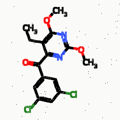 CCc1c(OC)nc(OC)nc1C(=O)c1cc(Cl)cc(Cl)c1